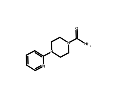 NC(=O)N1CCN(c2ccccn2)CC1